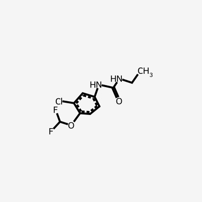 CCNC(=O)Nc1ccc(OC(F)F)c(Cl)c1